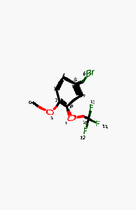 COc1ccc(Br)cc1OC(F)(F)F